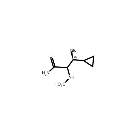 CC(C)(C)[C@@H](C1CC1)C(NC(=O)O)C(N)=O